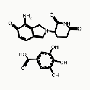 NC1=C2CN(C3CCC(=O)NC3=O)C=C2C=CC1=O.O=C(O)c1cc(O)c(O)c(O)c1